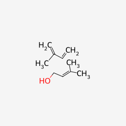 C=CC(=C)C.CC(C)=CCO